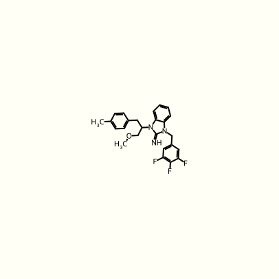 COCC(Cc1ccc(C)cc1)n1c(=N)n(Cc2cc(F)c(F)c(F)c2)c2ccccc21